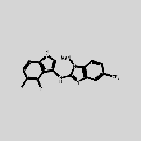 CNn1c(Nc2c[nH]c3ccc(C)c(F)c23)nc2cc(C(F)(F)F)ccc21